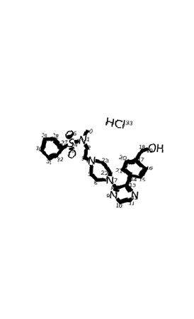 CN(CCN1CCN(c2nccnc2-c2ccc(CO)cc2)CC1)S(=O)(=O)c1ccccc1.Cl